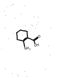 O=C(O)C1=C([SiH3])CCCC1